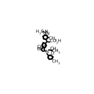 Cc1ccc2c(c1)OC(C)(C)CN(C1CCc3ccc(C(CC(=O)O)c4ccc5c(nnn5C)c4C)cc31)C2.O=CO